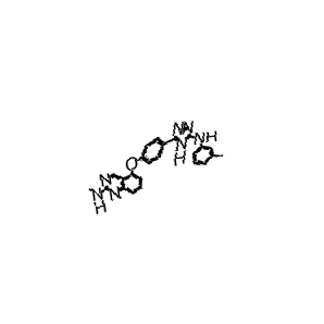 CNc1ncc2c(Oc3ccc(-c4nnc(Nc5cccc(C)c5)[nH]4)cc3)cccc2n1